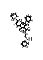 O=C(NCCNc1ccccn1)c1c(=O)c2ccc(N3CCOCC3)nc2n2c1sc1ccccc12